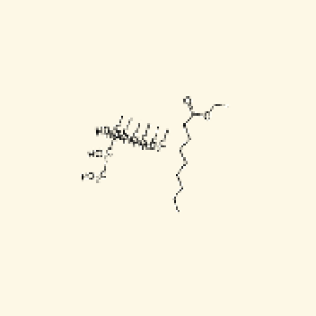 CC(=O)O.CC(=O)O.CC(=O)O.CC(=O)O.CC(=O)O.CC(=O)O.CC(=O)O.CC(=O)O.CCCCCCCCC(=O)OCC